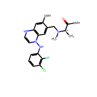 CNC(=O)[C@@H](C)N(C)Cc1cc2c(cc1OC)NC=CN2Nc1cccc(Cl)c1F